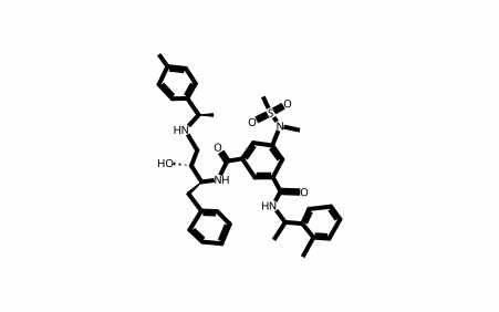 Cc1ccc([C@@H](C)NC[C@@H](O)[C@H](Cc2ccccc2)NC(=O)c2cc(C(=O)NC(C)c3ccccc3C)cc(N(C)S(C)(=O)=O)c2)cc1